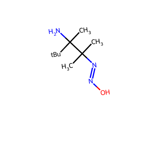 CC(C)(C)C(C)(N)C(C)(C)N=NO